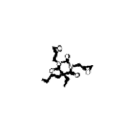 CCCCC1(CC)C(=O)N(CC2CO2)C(=O)N(CC2CO2)C1=O